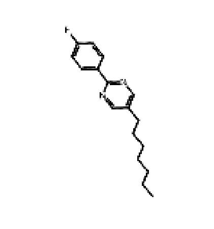 CCCCCCCc1cnc(-c2ccc(F)cc2)nc1